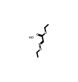 CCON=CC(=O)OCC.Cl